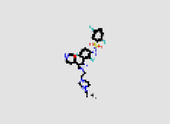 CN1CCN(CCn2cc(-c3ccncc3)c(-c3c(F)ccc(NS(=O)(=O)c4cc(F)ccc4F)c3F)n2)CC1